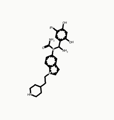 CC(C)c1cc(C(N)N(C(N)=O)c2ccc3c(ccn3CCC3CCNCC3)c2)c(O)cc1O